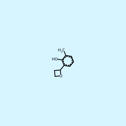 Cc1cccc(C2CCO2)c1O